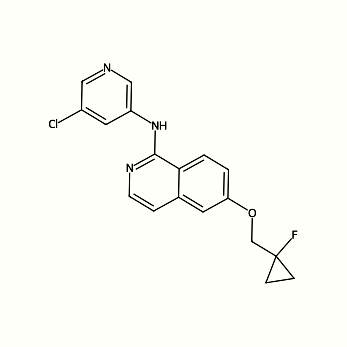 FC1(COc2ccc3c(Nc4cncc(Cl)c4)nccc3c2)CC1